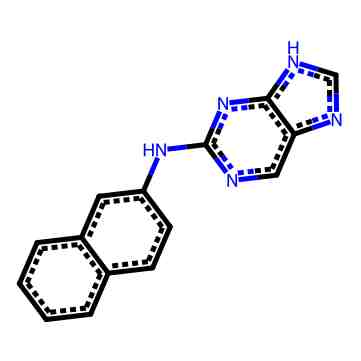 c1ccc2cc(Nc3ncc4nc[nH]c4n3)ccc2c1